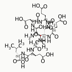 CC(C)C[C@H](NC(=O)[C@H](CCC(=O)O)NC(=O)CNC(=O)[C@H](CC(N)=O)NC(=O)[C@H](CCC(=O)O)NC(=O)[C@H](CCC(=O)O)NC(=O)[C@H](CC(=O)O)NC(=O)[C@@H](N)CC(C)C)C(=O)O